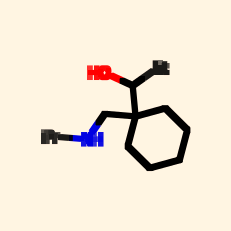 CCC(O)C1(CNC(C)C)CCCCC1